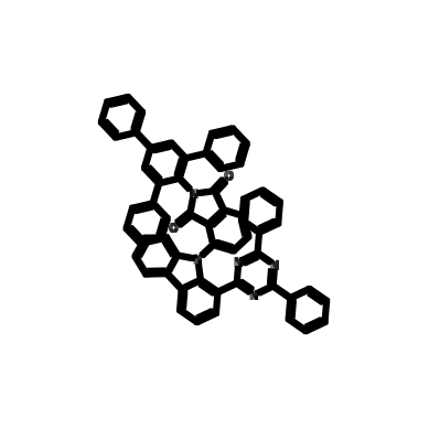 O=C1c2cccc(-n3c4ccccc4c4cccc(-c5nc(-c6ccccc6)nc(-c6ccccc6)n5)c43)c2C(=O)N1c1c(-c2ccccc2)cc(-c2ccccc2)cc1-c1ccccc1